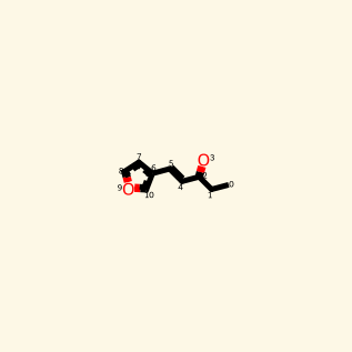 CCC(=O)/C=C/c1ccoc1